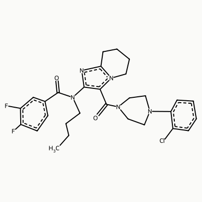 CCCCN(C(=O)c1ccc(F)c(F)c1)c1nc2n(c1C(=O)N1CCN(c3ccccc3Cl)CC1)CCCC2